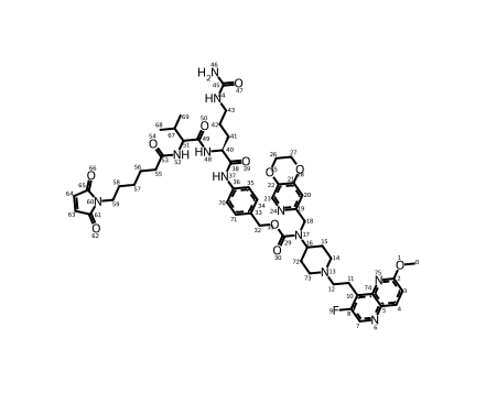 COc1ccc2ncc(F)c(CCN3CCC(N(Cc4cc5c(cn4)OCCO5)C(=O)OCc4ccc(NC(=O)[C@H](CCCNC(N)=O)NC(=O)C(NC(=O)CCCCCN5C(=O)C=CC5=O)C(C)C)cc4)CC3)c2n1